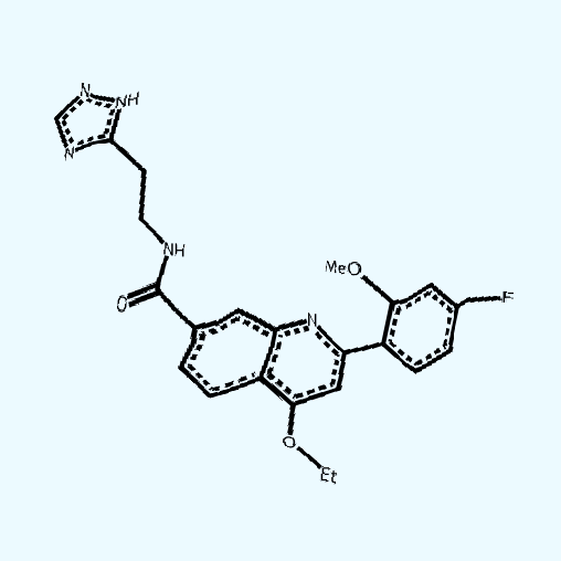 CCOc1cc(-c2ccc(F)cc2OC)nc2cc(C(=O)NCCc3ncn[nH]3)ccc12